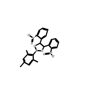 Cc1cc(C)c(B2OC(c3ccccc3[N+](=O)[O-])C(c3ccccc3[N+](=O)[O-])O2)c(C)c1